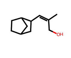 CC(=CC1CC2CCC1C2)CO